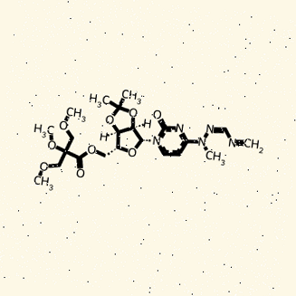 C=N/C=N\N(C)c1ccn([C@@H]2O[C@H](COC(=O)C(COC)(COC)OC)[C@H]3OC(C)(C)O[C@H]32)c(=O)n1